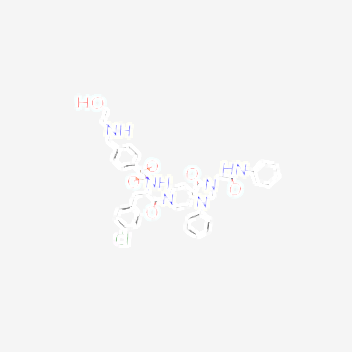 O=C(CN1CN(c2ccccc2)C2(CCN(C(=O)[C@@H](Cc3ccc(Cl)cc3)NS(=O)(=O)c3ccc(CNCCO)cc3)CC2)C1=O)NC1CCCCC1